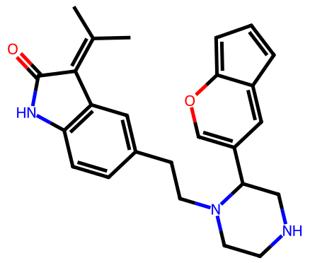 CC(C)=C1C(=O)Nc2ccc(CCN3CCNCC3c3coc4cccc-4c3)cc21